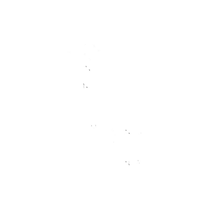 CC(=O)NCC1CC(=O)Nc2cc(OCCCCN3CCN(c4cccc(Cl)c4Cl)CC3)ccc21